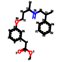 COC(=O)Cc1cccc(OCCC(C)NCC(C)c2ccccc2)c1